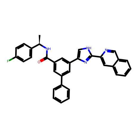 C[C@@H](NC(=O)c1cc(-c2ccccc2)cc(-c2c[nH]c(-c3cc4ccccc4cn3)n2)c1)c1ccc(F)cc1